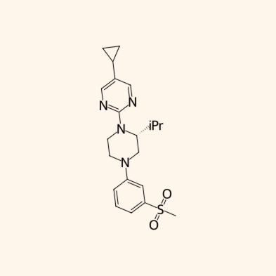 CC(C)[C@@H]1CN(c2cccc(S(C)(=O)=O)c2)CCN1c1ncc(C2CC2)cn1